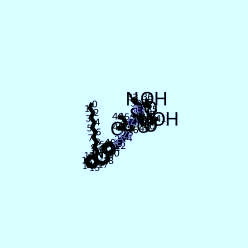 CCCCCCCCCCN1c2ccccc2CCc2cc(/C=C/C=C3/C/C(=c4/s/c(=C(\C#N)C(=O)O)n(CC(=O)O)c4=O)C(CC)C3=O)ccc21